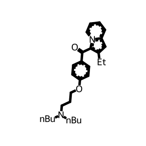 CCCCN(CCCC)CCCOc1ccc(C(=O)c2c(CC)cc3ccccn23)cc1